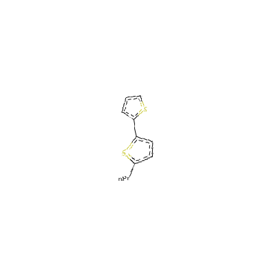 CCCc1ccc(-c2cc[c]s2)s1